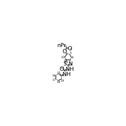 CCCC(=O)Oc1ccc2nc(NC(=O)Nc3ccccc3)sc2c1